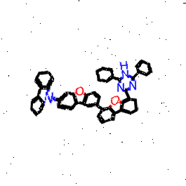 C1=CC(C2N=C(C3=c4oc5c(-c6ccc7c(c6)C6C=CC(n8c9ccccc9c9ccccc98)=CC6O7)cccc5c4=CCC3)N=C(c3ccccc3)N2)=CCC1